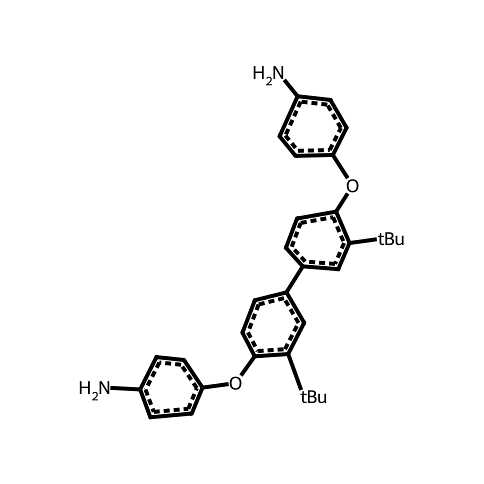 CC(C)(C)c1cc(-c2ccc(Oc3ccc(N)cc3)c(C(C)(C)C)c2)ccc1Oc1ccc(N)cc1